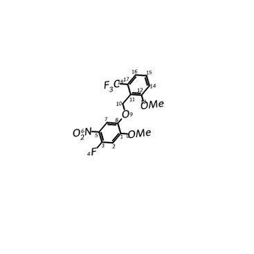 COc1cc(F)c([N+](=O)[O-])cc1OCc1c(OC)cccc1C(F)(F)F